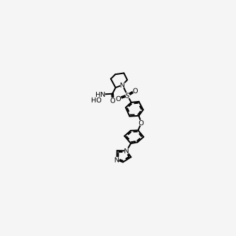 O=C(NO)C1CCCCN1S(=O)(=O)c1ccc(Oc2ccc(-n3ccnc3)cc2)cc1